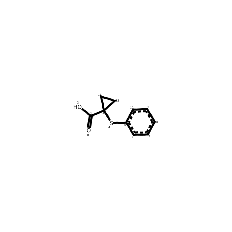 O=C(O)C1(Sc2ccccc2)CC1